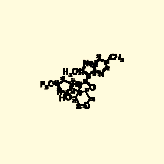 Cc1cnc2c(C(=O)NC3(c4ccc(C(F)(F)F)nc4)CCOCC3O)c(C)nn2c1